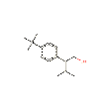 CC(C)C(CO)c1ccc([Si](C)(C)C)cc1